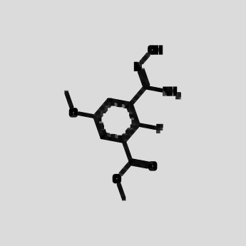 COC(=O)c1cc(OC)cc(/C(N)=N/O)c1F